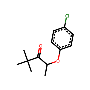 CC(Oc1ccc(Cl)cc1)C(=O)C(C)(C)C